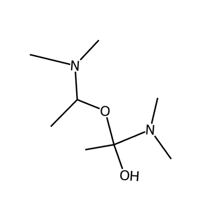 CC(OC(C)(O)N(C)C)N(C)C